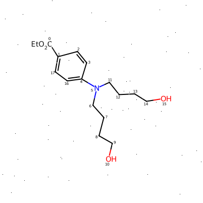 CCOC(=O)c1ccc(N(CCCCO)CCCCO)cc1